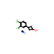 C#N.OC1CC(c2ccc(Cl)c(Cl)c2)C1